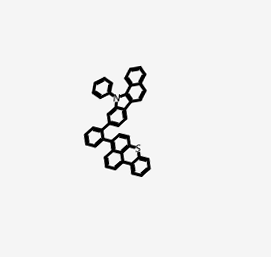 c1ccc(-n2c3cc(-c4ccccc4-c4ccc5c6c(cccc46)-c4ccccc4S5)ccc3c3ccc4ccccc4c32)cc1